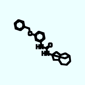 O=C(Nc1cccc(OCc2ccccc2)c1)NC12CC3CCCC(C1)C(C3)C2